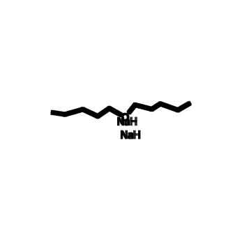 CCCCCOCCCCC.[NaH].[NaH]